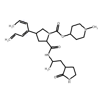 C=C/C=C(\C=C/C)C1CC(C(=O)NC(C)CC2CCNC2=O)N(C(=O)OC2CCN(C)CC2)C1